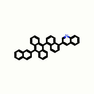 c1ccc2cc(-c3c4ccccc4c(-c4cccc5c(-c6cnc7ccccc7c6)cccc45)c4ccccc34)ccc2c1